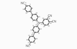 N#Cc1ccc(-c2ccc(N(c3ccc(-c4ccc(C#N)cc4)cc3)c3ccc(C#N)c(C#N)c3)cc2)cc1